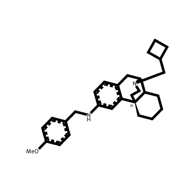 COc1ccc(CNc2ccc3c(c2)[C@@]24CCCCC2C(C3)N(CC2CCC2)CC4)cc1